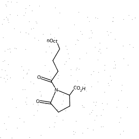 CCCCCCCCCCCC(=O)N1C(=O)CCC1C(=O)O